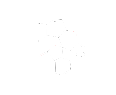 Cc1ccc2c(c1C)C1(OC(=O)c3ccccc31)c1ccccc1O2